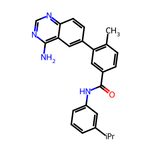 Cc1ccc(C(=O)Nc2cccc(C(C)C)c2)cc1-c1ccc2ncnc(N)c2c1